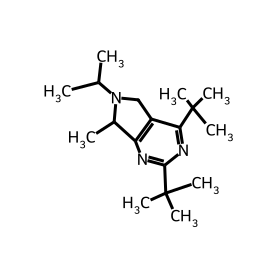 CC(C)N1Cc2c(nc(C(C)(C)C)nc2C(C)(C)C)C1C